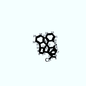 C=C/C(=C(\C)Cl)c1cccc2c1C1(c3ccccc3Sc3ccccc31)c1ccccc1-2